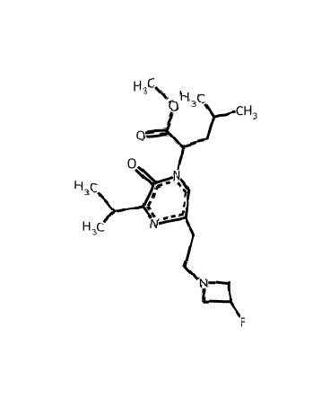 COC(=O)C(CC(C)C)n1cc(CCN2CC(F)C2)nc(C(C)C)c1=O